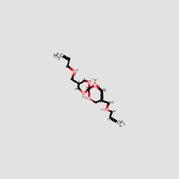 C=CCOCC1COC2(OC1)OCC(COCC=C)CO2